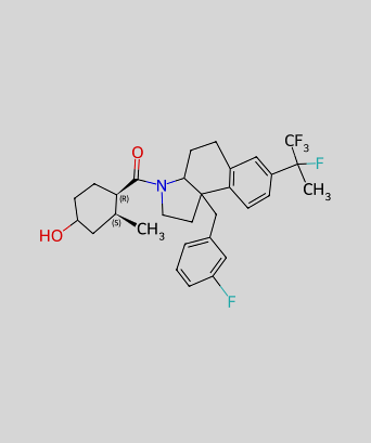 C[C@H]1CC(O)CC[C@H]1C(=O)N1CCC2(Cc3cccc(F)c3)c3ccc(C(C)(F)C(F)(F)F)cc3CCC12